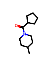 CC1CCN(C(=O)C2CCCC2)CC1